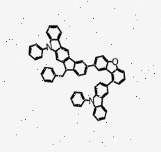 c1ccc(CC2c3ccc(-c4ccc5oc6cccc(-c7ccc8c(c7)c7ccccc7n8-c7ccccc7)c6c5c4)cc3-c3cc4c5ccccc5n(-c5ccccc5)c4cc32)cc1